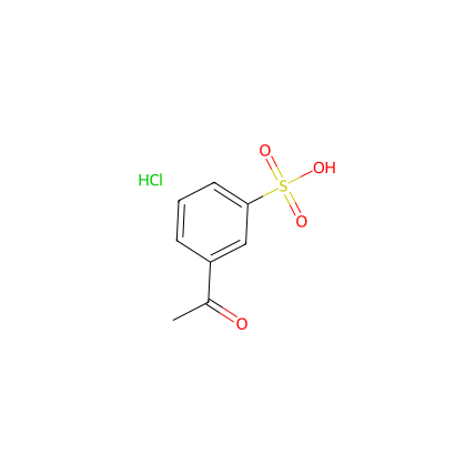 CC(=O)c1cccc(S(=O)(=O)O)c1.Cl